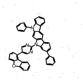 c1ccc(-c2ccc3c4cc5c6ccccc6n(-c6ccccc6)c5cc4n(-c4ncc(-c5cccc6oc7ccccc7c56)cn4)c3c2)cc1